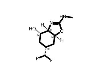 CNC1=N[C@H]2[C@H](C[C@H](C(F)F)C[C@@H]2O)O1